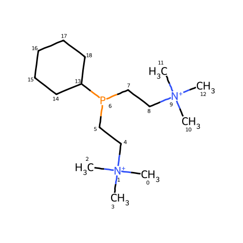 C[N+](C)(C)CCP(CC[N+](C)(C)C)C1CCCCC1